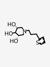 OC1[C@H](O)CN(CCCc2cccs2)C[C@@H]1O